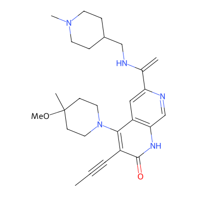 C=C(NCC1CCN(C)CC1)c1cc2c(N3CCC(C)(OC)CC3)c(C#CC)c(=O)[nH]c2cn1